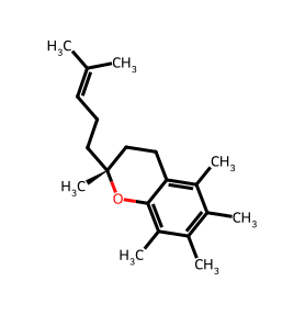 CC(C)=CCC[C@]1(C)CCc2c(C)c(C)c(C)c(C)c2O1